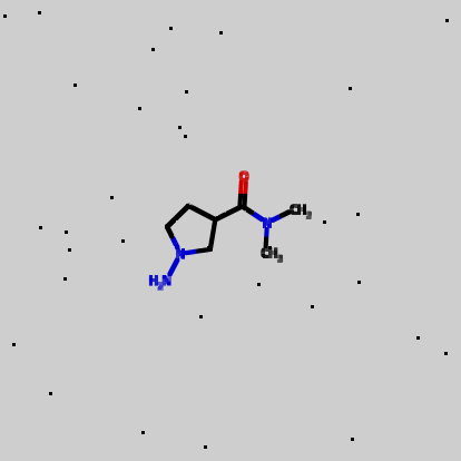 CN(C)C(=O)C1CCN(N)C1